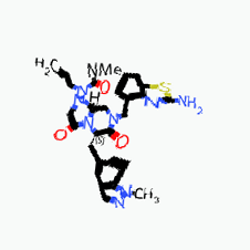 C=CCN(C(=O)NC)N1CC(=O)N2[C@@H](Cc3ccc4c(cnn4C)c3)C(=O)N(Cc3cccc4sc(N)nc34)C[C@@H]21